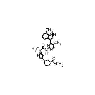 C=CC(=O)N1CCC=C(c2cnn(C(C)C(=O)Nc3ncc(C(F)(F)F)c(-c4c[nH]c5c(C)cccc45)n3)c2)C1